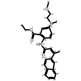 CCOC(=O)c1cc(N(C)CCOC)ccc1NC(=O)/C=C(/C)c1ccc2ccccc2c1